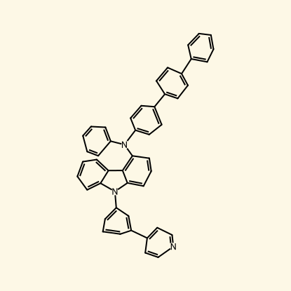 c1ccc(-c2ccc(-c3ccc(N(c4ccccc4)c4cccc5c4c4ccccc4n5-c4cccc(-c5ccncc5)c4)cc3)cc2)cc1